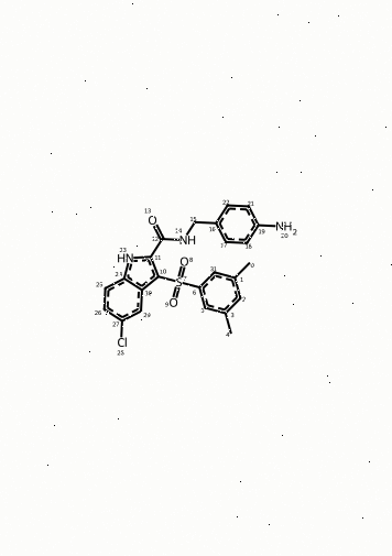 Cc1cc(C)cc(S(=O)(=O)c2c(C(=O)NCc3ccc(N)cc3)[nH]c3ccc(Cl)cc23)c1